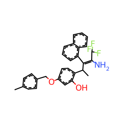 Cc1ccc(COc2ccc(C(C)/C(=C(\N)C(F)(F)F)c3cccc4ccccc34)c(O)c2)cc1